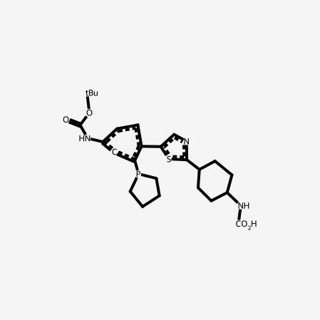 CC(C)(C)OC(=O)Nc1ccc(-c2cnc(C3CCC(NC(=O)O)CC3)s2)c(P2CCCC2)c1